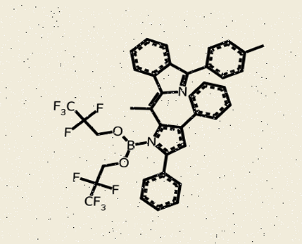 C/C(=C1/N=C(c2ccc(C)cc2)c2ccccc21)c1c(-c2ccccc2)cc(-c2ccccc2)n1B(OCC(F)(F)C(F)(F)F)OCC(F)(F)C(F)(F)F